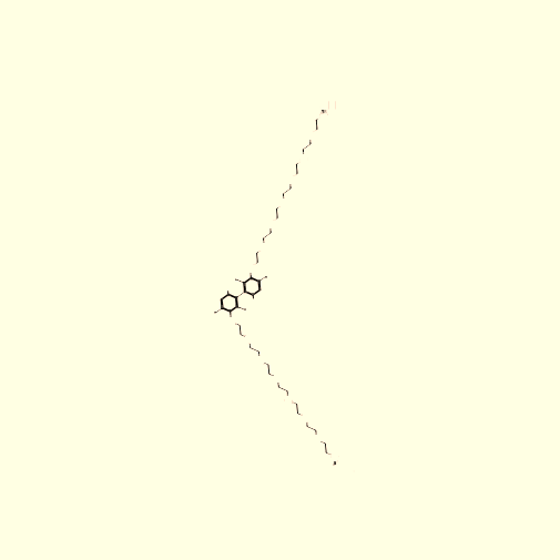 COCCOCCOCCOCCOCCOCCOCCOc1c(I)cc(I)c(-c2c(I)cc(I)c(OCCOCCOCCOCCOCCOCCOCCOC)c2I)c1I